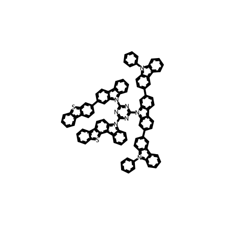 c1ccc(-n2c3ccccc3c3cc(-c4ccc5c6ccc(-c7ccc8c(c7)c7ccccc7n8-c7ccccc7)cc6n(-c6nc(-n7c8ccccc8c8ccc(-c9ccc%10c(c9)sc9ccccc9%10)cc87)nc(-n7c8ccccc8c8c9sc%10ccccc%10c9ccc87)n6)c5c4)ccc32)cc1